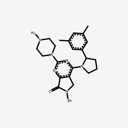 CC(=O)N1CCN(c2nc3c(c(N4CCCC4c4cc(C)cc(C)c4)n2)CN(C(C)C)C3=O)CC1